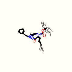 CCCCC1C(=O)N(Cc2ccccc2)C=CN1C(=O)OC(C)(C)C